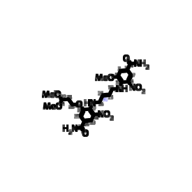 COc1cc(C(N)=O)cc([N+](=O)[O-])c1NC/C=C/CNc1c(OCCC(OC)OC)cc(C(N)=O)cc1[N+](=O)[O-]